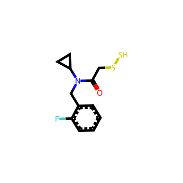 O=C(CSS)N(Cc1ccccc1F)C1CC1